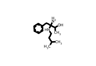 CC(C)CCNC(N)(Cc1ccccc1)C(C)O